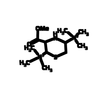 COC(=O)C1NC([N+](C)(C)C)CSC1[N+](C)(C)C